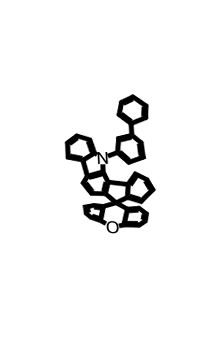 c1ccc(-c2cccc(-n3c4ccccc4c4ccc5c(c43)-c3ccccc3C53c4ccccc4Oc4ccccc43)c2)cc1